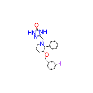 O=c1[nH]nc(CN2CCC[C@H](OCc3cccc(I)c3)[C@@H]2c2ccccc2)[nH]1